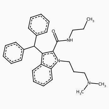 CCCNC(=O)c1c(C(c2ccccc2)c2ccccc2)c2ccccc2n1CCCN(C)C